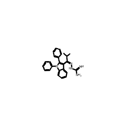 CC(C)/C(=N/NC(=N)N)c1c(-c2ccccc2)n(-c2ccccc2)c2ccccc12